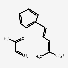 C=CC(N)=O.CC(=CC=Cc1ccccc1)C(=O)O